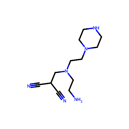 N#CC(C#N)CN(CCN)CCN1CCNCC1